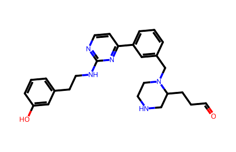 O=CCCC1CNCCN1Cc1cccc(-c2ccnc(NCCc3cccc(O)c3)n2)c1